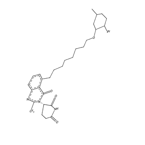 CC1CCC(C(C)C)C(OCCCCCCCCc2cccc3nc(C(F)(F)F)n([C@H]4CCC(=O)NC4=O)c(=O)c23)C1